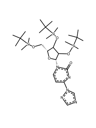 CC(C)(C)[Si](C)(C)OC[C@H]1O[C@@H](n2ccc(-n3cncn3)nc2=O)C(O[Si](C)(C)C(C)(C)C)C1O[Si](C)(C)C(C)(C)C